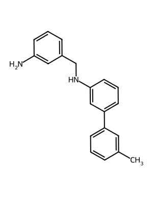 Cc1cccc(-c2cccc(NCc3cccc(N)c3)c2)c1